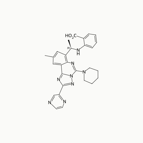 Cc1cc([C@@H](C)Nc2ccccc2C(=O)O)c2nc(N3CCCCC3)n3nc(-c4cnccn4)nc3c2c1